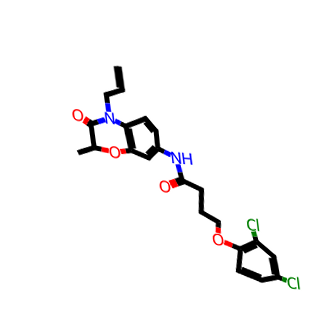 C=CCN1C(=O)C(C)Oc2cc(NC(=O)CCCOc3ccc(Cl)cc3Cl)ccc21